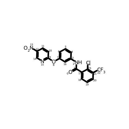 O=C(Nc1cccc(Oc2ccc([N+](=O)[O-])cn2)c1)c1cccc(C(F)(F)F)c1Cl